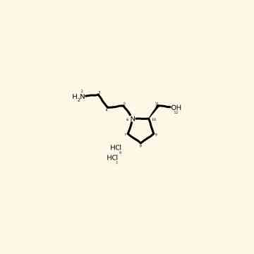 Cl.Cl.NCCCN1CCC[C@@H]1CO